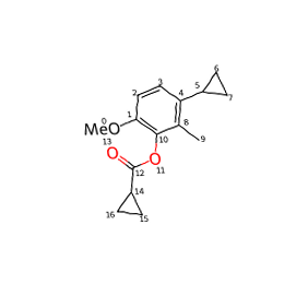 COc1ccc(C2CC2)c(C)c1OC(=O)C1CC1